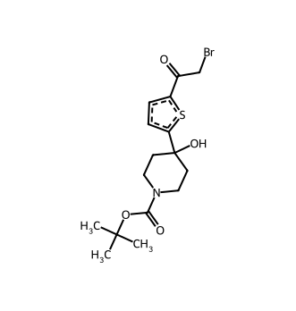 CC(C)(C)OC(=O)N1CCC(O)(c2ccc(C(=O)CBr)s2)CC1